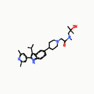 Cc1cc(-c2[nH]c3ccc(C4CCN(CC(=O)N(C)CC(C)(C)O)CC4)cc3c2C(C)C)cc(C)n1